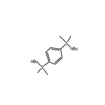 CCCCS(C)(C)c1ccc(S(C)(C)CCCC)cc1